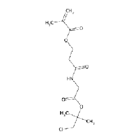 C=C(C)C(=O)OCCC(=O)NCC(=O)OC(C)(C)CCl